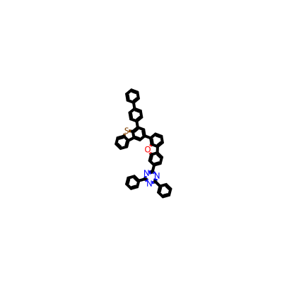 c1ccc(-c2ccc(-c3cc(-c4cccc5c4oc4cc(-c6nc(-c7ccccc7)nc(-c7ccccc7)n6)ccc45)cc4c3sc3ccccc34)cc2)cc1